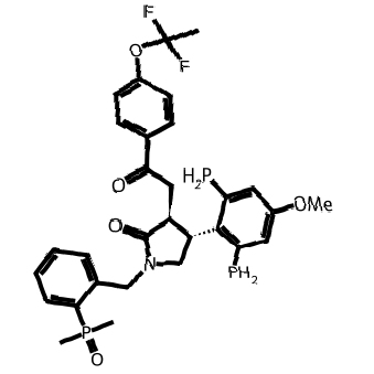 COc1cc(P)c([C@@H]2CN(Cc3ccccc3P(C)(C)=O)C(=O)[C@H]2CC(=O)c2ccc(OC(C)(F)F)cc2)c(P)c1